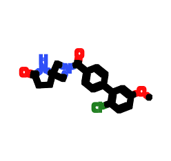 COc1ccc(Cl)c(-c2ccc(C(=O)N3CC4(CCC(=O)N4)C3)cc2)c1